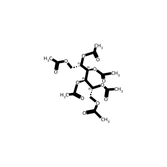 CC(=O)OC[C@H](OC(C)=O)[C@@H](OC(C)=O)[C@H](OC(C)=O)[C@@H](COC(C)=O)OC(C)=O